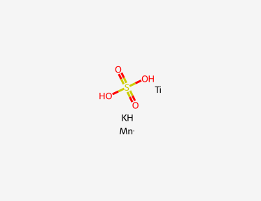 O=S(=O)(O)O.[KH].[Mn].[Ti]